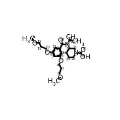 COCCCOc1cc(OCCCOC)cc(C(=O)N(C(C)C)[C@@H]2CCCN(C(=O)O)C2)c1